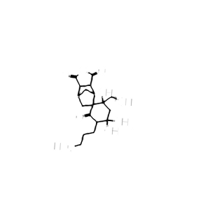 CCCCC1C(=O)C2(CC3CC2C2C(=O)OC(=O)C32)C(C)(CC)CC1(C)C